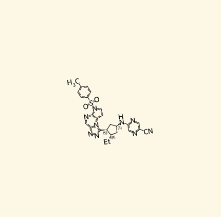 CC[C@@H]1C[C@H](Nc2cnc(C#N)cn2)C[C@@H]1c1nnc2cnc3c(ccn3S(=O)(=O)c3ccc(C)cc3)n12